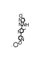 COc1ccc2[nH]c(-c3cnc(-c4ccc(O[C@H]5CC[C@@H](C)CC5)nc4)cc3C)nc2n1